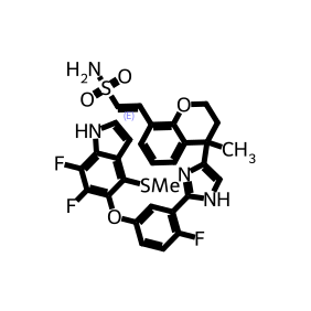 CSc1c(Oc2ccc(F)c(-c3nc(C4(C)CCOc5c(/C=C/S(N)(=O)=O)cccc54)c[nH]3)c2)c(F)c(F)c2[nH]ccc12